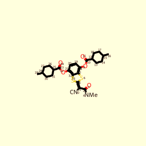 [C-]#[N+]C(C(=O)NC)=C1Sc2c(OC(=O)C3CCC(C)CC3)ccc(OC(=O)C3CCC(C)CC3)c2S1